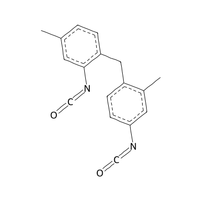 Cc1ccc(Cc2ccc(N=C=O)cc2C)c(N=C=O)c1